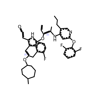 C=C/C(Oc1cc(/C=C(\Cc2ccccc2F)OC2CCCC(C)CC2)c(C=C=O)[nH]1)=C(\C)Nc1cc(Oc2c(F)cccc2F)ncc1CCC